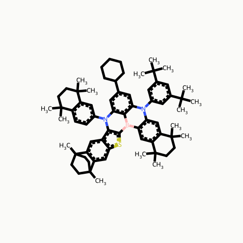 CC(C)(C)c1cc(N2c3cc4c(cc3B3c5sc6cc7c(cc6c5N(c5ccc6c(c5)C(C)(C)CCC6(C)C)c5cc(C6CCCCC6)cc2c53)C2(C)CCC7(C)CC2)C(C)(C)CCC4(C)C)cc(C(C)(C)C)c1